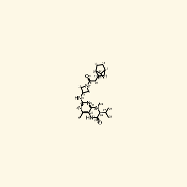 Cc1nc(NC2CN(C(=O)CC3CC4CCC3[C@H]4C)C2)nc2c1NC(=O)[C@H](C(C)C)N2C